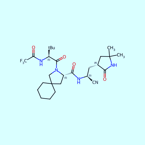 CC1(C)C[C@@H](C[C@@H](C#N)NC(=O)[C@@H]2CC3(CCCCC3)CN2C(=O)[C@@H](NC(=O)C(F)(F)F)C(C)(C)C)C(=O)N1